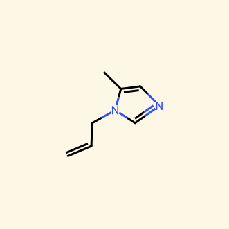 C=CCn1cncc1C